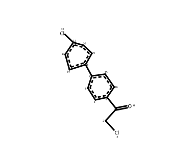 O=C(CCl)c1ccc(-c2ccc(Cl)cc2)cc1